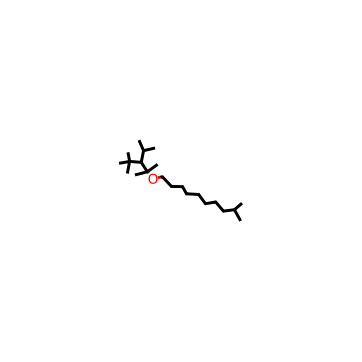 CC(C)CCCCCCCCOC(C)(C)C(C(C)C)C(C)(C)C